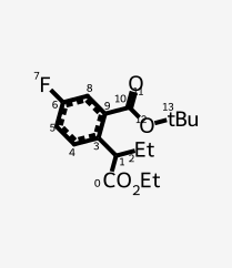 CCOC(=O)C(CC)c1ccc(F)cc1C(=O)OC(C)(C)C